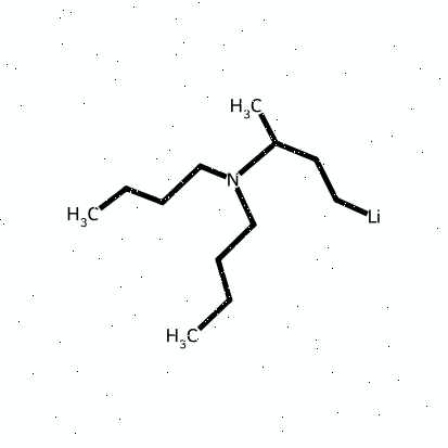 [Li][CH2]CC(C)N(CCCC)CCCC